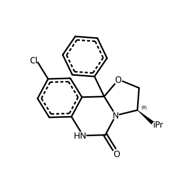 CC(C)[C@@H]1COC2(c3ccccc3)c3cc(Cl)ccc3NC(=O)N12